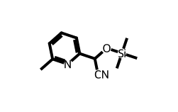 Cc1cccc(C(C#N)O[Si](C)(C)C)n1